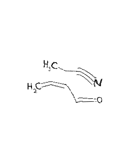 C=CC=O.CC#N